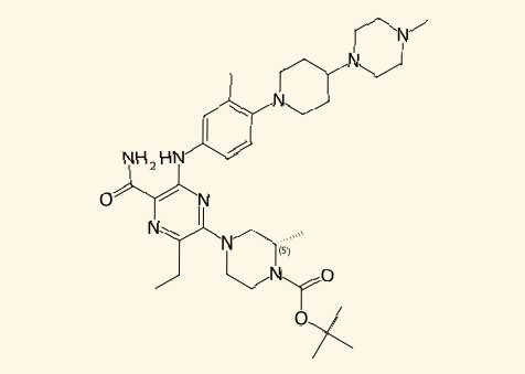 CCc1nc(C(N)=O)c(Nc2ccc(N3CCC(N4CCN(C)CC4)CC3)c(C)c2)nc1N1CCN(C(=O)OC(C)(C)C)[C@@H](C)C1